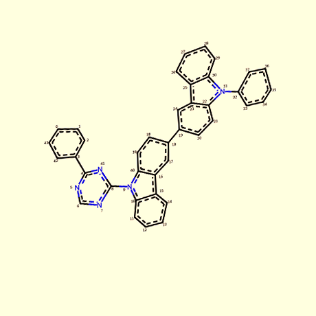 c1ccc(-c2ncnc(-n3c4ccccc4c4cc(-c5ccc6c(c5)c5ccccc5n6-c5ccccc5)ccc43)n2)cc1